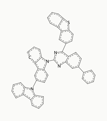 c1ccc(-c2ccc3c(-c4ccc5sc6ccccc6c5c4)nc(-n4c5ccccc5c5cc(-n6c7ccccc7c7ccccc76)ccc54)nc3c2)cc1